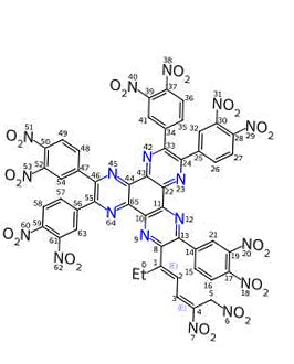 CC/C(=C\C=C(/C[N+](=O)[O-])[N+](=O)[O-])c1nc2c(nc1-c1ccc([N+](=O)[O-])c([N+](=O)[O-])c1)c1nc(-c3ccc([N+](=O)[O-])c([N+](=O)[O-])c3)c(-c3ccc([N+](=O)[O-])c([N+](=O)[O-])c3)nc1c1nc(-c3ccc([N+](=O)[O-])c([N+](=O)[O-])c3)c(-c3ccc([N+](=O)[O-])c([N+](=O)[O-])c3)nc21